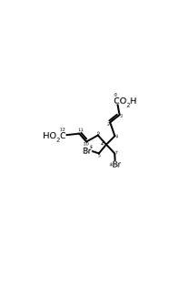 O=C(O)C=CCC(CBr)(CBr)CC=CC(=O)O